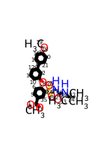 COC(=O)c1ccc(Oc2cccc(-c3ccc(OC)cc3)c2)c(S(=O)(=O)NC(=O)NC(C)(C)C)c1